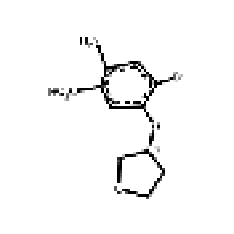 Nc1cc(Br)c(O[C@H]2CCOC2)cc1C(=O)O